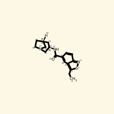 CCc1snc2ccc(C(=O)N[C@@H]3C[C@H]4CCN(C4)C3)cc12